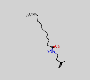 C=C(C)CCNC(=O)CCCCCCCCCCCCCCCCC